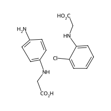 Nc1ccc(NCC(=O)O)cc1.O=C(O)CNc1ccccc1Cl